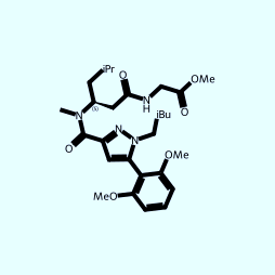 CCC(C)Cn1nc(C(=O)N(C)[C@H](CC(=O)NCC(=O)OC)CC(C)C)cc1-c1c(OC)cccc1OC